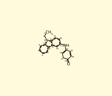 CCn1c2ccccc2c2cc(NC3=CCC(=O)C=C3)ccc21